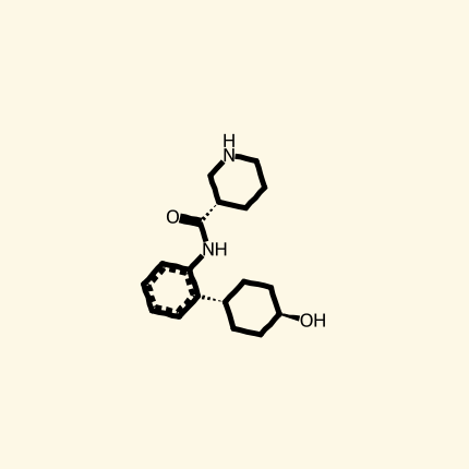 O=C(Nc1ccccc1[C@H]1CC[C@H](O)CC1)[C@H]1CCCNC1